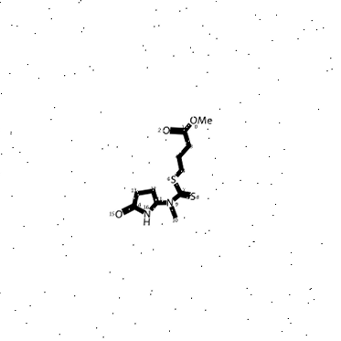 COC(=O)CCCSC(=S)N(C)C1CCC(=O)N1